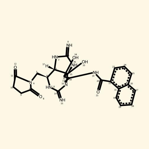 N=C1N[C@H]2[C@H](CN3C(=O)CCC3=O)NC(=N)N3CC(NC(=O)c4cccc5ccccc45)C(O)(O)[C@]23N1